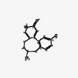 O=c1cc2c(c[nH]1)COC(C(F)(F)F)Cc1ccc(Cl)cc1-2